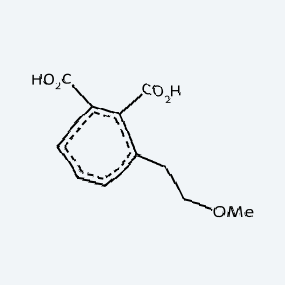 COCCc1cccc(C(=O)O)c1C(=O)O